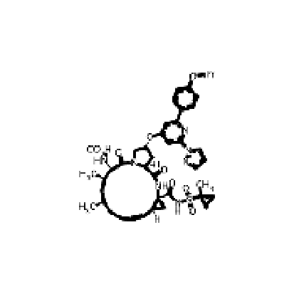 CC(C)Oc1ccc(-c2cc(O[C@@H]3C[C@H]4C(=O)N[C@]5(C(=O)NS(=O)(=O)C6(C)CC6)C[C@H]5C=CCC[C@@H](C)C[C@@H](C)[C@H](NC(=O)O)C(=O)N4C3)cc(-n3cccn3)n2)cc1